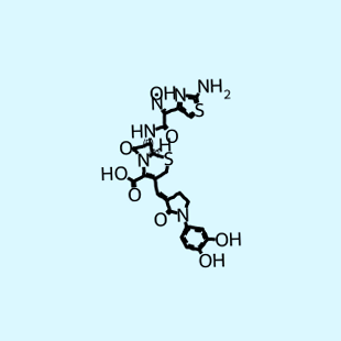 Nc1nc(C(=NO)C(=O)N[C@@H]2C(=O)N3C(C(=O)O)=C(C=C4CCN(c5ccc(O)c(O)c5)C4=O)CS[C@H]23)cs1